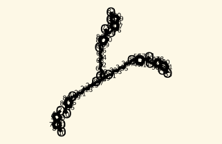 O=C(Oc1ccc2ccc(=O)oc2c1)c1ccc(OCCCCCCCOCC(COCCCCCCCOc2ccc(C(=O)Oc3ccc4ccc(=O)oc4c3)cc2)OCCCCCCCOc2ccc(C(=O)Oc3ccc4ccc(=O)oc4c3)cc2)cc1